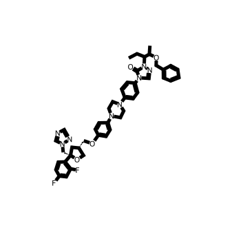 CCC(C(C)OCc1ccccc1)n1ncn(-c2ccc(N3CCN(c4ccc(OC[C@@H]5CO[C@@](Cn6cncn6)(c6ccc(F)cc6F)C5)cc4)CC3)cc2)c1=O